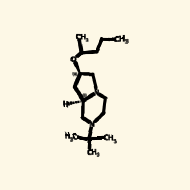 CCCC(C)O[C@@H]1C[C@@H]2CN(C(C)(C)C)CCN2C1